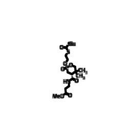 COC(=O)CCNC(=O)[C@@H]1CP(=O)(OCCSC(=O)C(C)(C)C)OCC1(C)C